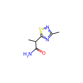 Cc1nsc(C(C)C(N)=O)n1